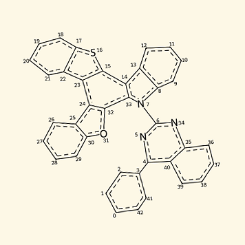 c1ccc(-c2nc(-n3c4ccccc4c4c5sc6ccccc6c5c5c6ccccc6oc5c43)nc3ccccc23)cc1